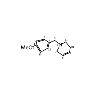 COc1ccc(CN2CC=[C]CC2)cc1